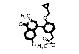 Cn1cc(-c2cc(CS(C)(=O)=O)ccc2OCC2CC2)c2cc(Cl)ccc2c1=O